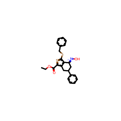 CCOC(=O)c1sc(SCc2ccccc2)c2c1CC(c1ccccc1)C/C2=N\O